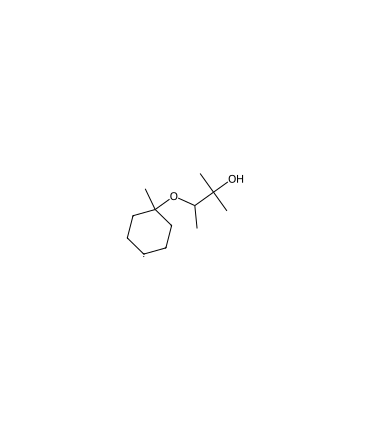 CC(OC1(C)CC[CH]CC1)C(C)(C)O